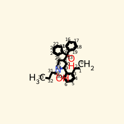 C=CCc1ccccc1C1CC(C(O)(c2ccccc2)c2ccccc2)CCN1C(O)CCC